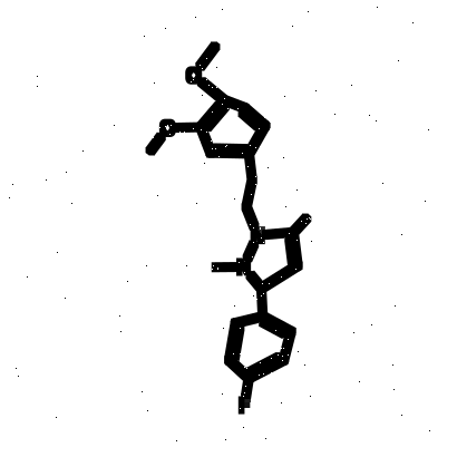 COc1ccc(CCN2C(C)=CC(c3ccc(F)cc3)N2C)cc1OC